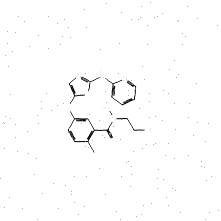 Cc1ccc(Sc2cnc(Nc3ccccn3)s2)cc1C(=O)N(CCO)C(C)(C)C